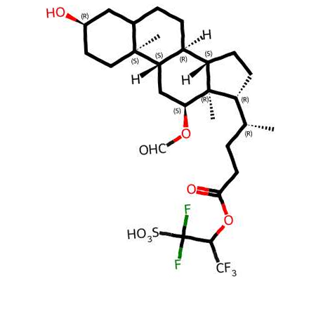 C[C@H](CCC(=O)OC(C(F)(F)F)C(F)(F)S(=O)(=O)O)[C@H]1CC[C@H]2[C@@H]3CCC4C[C@H](O)CC[C@]4(C)[C@H]3C[C@H](OC=O)[C@]12C